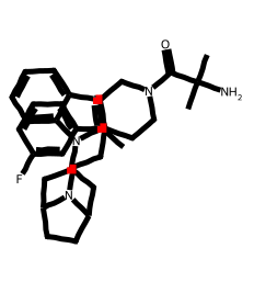 Cc1nc2ccccc2n1C1CC2CCC(C1)N2CCC1(c2cccc(F)c2)CCN(C(=O)C(C)(C)N)CC1